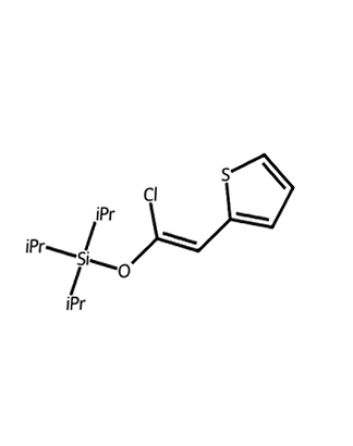 CC(C)[Si](OC(Cl)=Cc1cccs1)(C(C)C)C(C)C